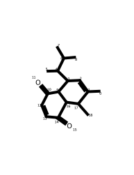 CC1=CC(C(C)C(C)C)C2C(=O)C=CC(=O)C2C1C